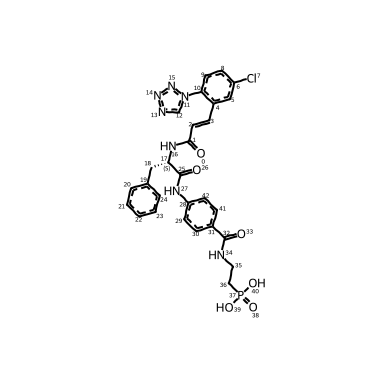 O=C(C=Cc1cc(Cl)ccc1-n1cnnn1)N[C@@H](Cc1ccccc1)C(=O)Nc1ccc(C(=O)NCCP(=O)(O)O)cc1